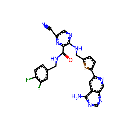 N#Cc1cnc(NCc2ccc(-c3cc4c(N)ncnc4cn3)s2)c(C(=O)NCc2ccc(F)c(F)c2)n1